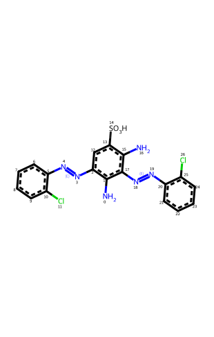 Nc1c(/N=N/c2ccccc2Cl)cc(S(=O)(=O)O)c(N)c1/N=N/c1ccccc1Cl